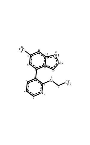 FC(F)(F)COc1ncccc1-c1cc(C(F)(F)F)cc2[nH]ncc12